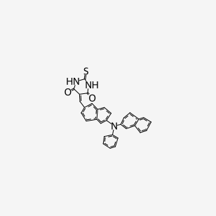 O=C1NC(=S)NC(=O)C1=Cc1ccc2cc(N(c3ccccc3)c3ccc4ccccc4c3)ccc2c1